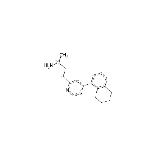 C[C@H](N)C[CH]c1cc(-c2cccc3c2CCCC3)ccn1